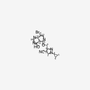 N#Cc1cn(C2CC2)nc1COc1ncc(Br)c2ncnc(O)c12